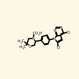 CC1(C)CN(C(=O)O)C(c2ccc(-n3c(Cl)cc4c(Cl)ncnc43)cc2)CO1